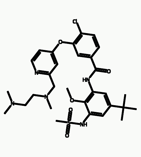 COc1c(NC(=O)c2ccc(Cl)c(Oc3ccnc(CN(C)CCN(C)C)c3)c2)cc(C(C)(C)C)cc1NS(C)(=O)=O